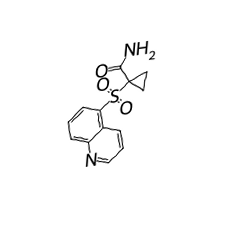 NC(=O)C1(S(=O)(=O)c2cccc3ncccc23)CC1